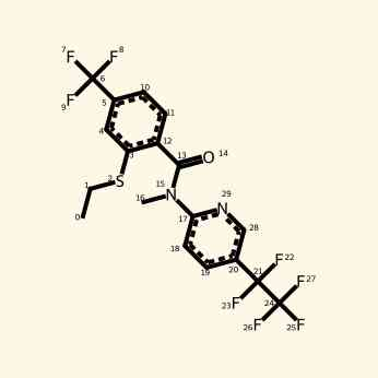 CCSc1cc(C(F)(F)F)ccc1C(=O)N(C)c1ccc(C(F)(F)C(F)(F)F)cn1